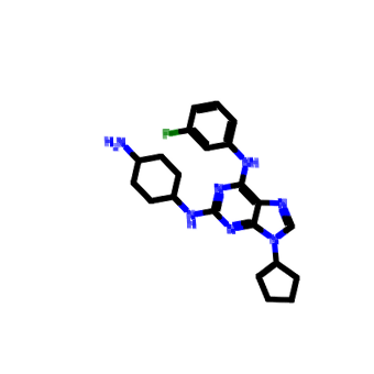 NC1CCC(Nc2nc(Nc3cccc(F)c3)c3ncn(C4CCCC4)c3n2)CC1